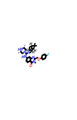 C[C@@H]1[C@@H](N=C(Nc2ccc3c(=O)n(C)c(COc4ccc(F)cc4)nc3c2)N2C[C@@H](C)N[C@@H](C)C2)C[C@H]2C[C@@H]1C2(C)C